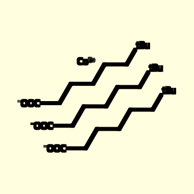 CC(C)(C)CCCCCC(=O)[O-].CC(C)(C)CCCCCC(=O)[O-].CC(C)(C)CCCCCC(=O)[O-].[Co+3]